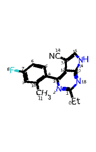 CCc1nc(-c2ccc(F)cc2C)c2c(C#N)c[nH]c2n1